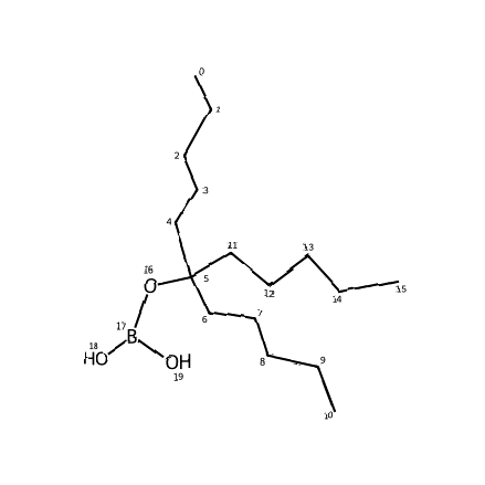 CCCCCC(CCCCC)(CCCCC)OB(O)O